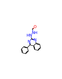 O=CNNc1nc(-c2ccccc2)c2ccccc2n1